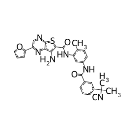 Cc1ccc(NC(=O)c2cccc(C(C)(C)C#N)c2)cc1NC(=O)c1sc2ncc(-c3ccco3)nc2c1N